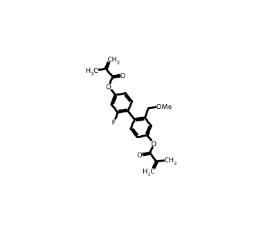 C=C(C)C(=O)Oc1ccc(-c2ccc(OC(=O)C(=C)C)cc2COC)c(F)c1